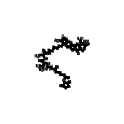 CC[C@@]1(O)C(=O)OCc2c1cc1n(c2=O)Cc2cc3c(CCCCOCNC(=O)[C@H](C)NC(=O)[C@@H](NC(=O)CNC(=O)CCCCC(=O)ON4C(=O)CCC4=O)C(C)C)c(C)c(F)cc3nc2-1